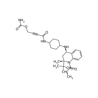 CCC(=O)N1c2ccccc2[C@H](NC2CCC(NC(=O)C#CCOC(N)=O)CC2)C[C@@]1(C)C(C)(C)C